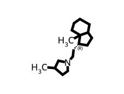 CC1CCN(CC[C@H]2CCC3CCCCC32C)C1